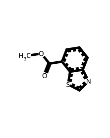 COC(=O)c1cccc2ncsc12